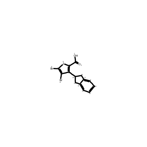 O=C(O)c1sc(Br)c(Br)c1C1Cc2ccccc2C1